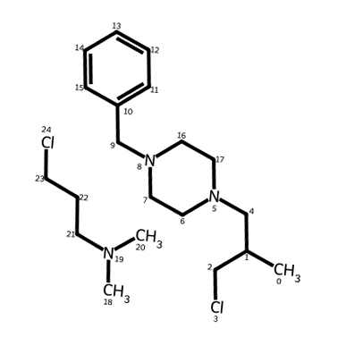 CC(CCl)CN1CCN(Cc2ccccc2)CC1.CN(C)CCCCl